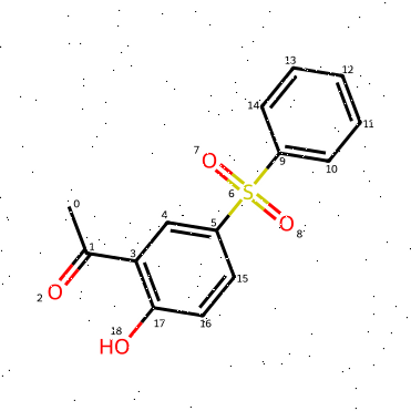 CC(=O)c1cc(S(=O)(=O)c2ccccc2)ccc1O